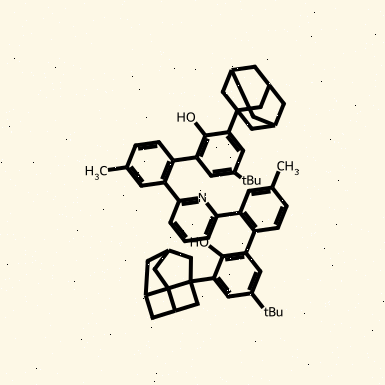 Cc1ccc(-c2cc(C(C)(C)C)cc(C34CC5CC(CC(C5)C3)C4)c2O)c(-c2cccc(-c3cc(C)ccc3-c3cc(C(C)(C)C)cc(C45CC6CC7CC(C4)C75C6)c3O)n2)c1